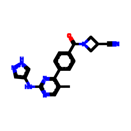 Cc1cnc(Nc2cn[nH]c2)nc1-c1ccc(C(=O)N2CC(C#N)C2)cc1